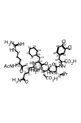 CC(=O)N[C@@H](CCCNC(=N)N)C(=O)C[C@@H](CCC(N)=O)C(=O)N[C@@H](CC1CCCCC1)C(=O)N(C)[C@@H](CC(=O)O)C(=O)N[C@@H](CC(C)C)C(=O)N[C@@H](Cc1ccc(Cl)c(Cl)c1)C(=O)O